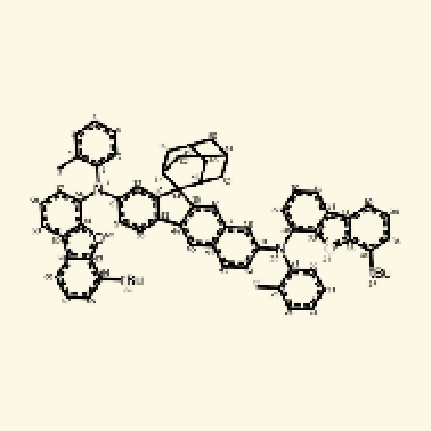 Cc1ccccc1N(c1ccc2c(c1)C1(c3cc4cc(N(c5ccccc5C)c5cccc6c5oc5c(C(C)(C)C)cccc56)ccc4cc3-2)C2CC3CC(C2)CC1C3)c1cccc2c1oc1c(C(C)(C)C)cccc12